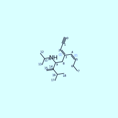 C#C/C=C(\C=C/CC)CC(NC(C)C)C(=C)C(C)C